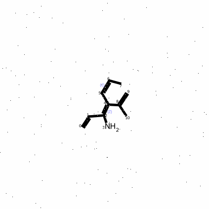 C=C/C(N)=C(\C=C/C)C(=C)C